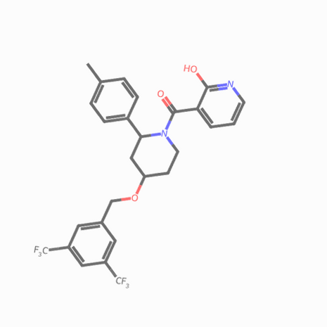 Cc1ccc(C2CC(OCc3cc(C(F)(F)F)cc(C(F)(F)F)c3)CCN2C(=O)c2cccnc2O)cc1